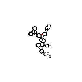 Cc1c2c(c3cccc4c3c1-c1cc(C(F)(F)F)ccc1-4)OC(c1ccc(N3CCOCC3)cc1)(c1ccc(-n3c4ccccc4c4ccccc43)cc1)C=C2